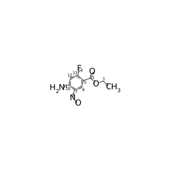 CCOC(=O)c1cc(N=O)c(N)cc1F